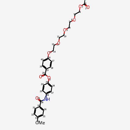 CCC(C)C(=O)OCCOCCOCCOCCOc1ccc(C(=O)Oc2ccc(NC(=O)c3ccc(OC)cc3)cc2)cc1